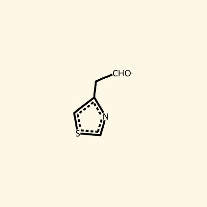 O=[C]Cc1cscn1